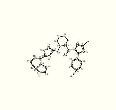 Cc1nc(C(=O)N2CCCCC2Cc2nnc(-c3cccc4occc34)o2)c(-c2ccc(F)cc2)s1